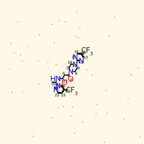 CC(NCCC(=O)N1CCN(c2ncc(C(F)(F)F)cn2)CC1)n1nccc(C(F)(F)F)c1=O